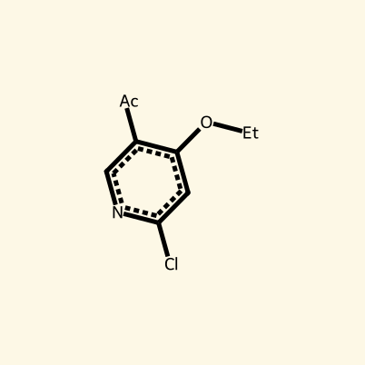 CCOc1cc(Cl)ncc1C(C)=O